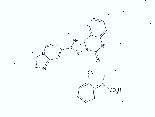 CN(C(=O)O)c1ccccc1C#N.O=c1[nH]c2ccccc2c2nc(-c3ccn4ccnc4c3)nn12